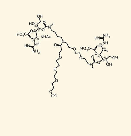 CCCOCCOCCOCCOCCC(=O)N(CCCCN(C)C(=O)O[C@@H]([C@@H]1OC(C(=O)O)=C[C@H](NC(=N)N)[C@H]1NC(C)=O)[C@H](O)CO)CCOCCOCCN(C)C(=O)O[C@@H]([C@@H]1OC(C(=O)O)=C[C@H](NC(=N)N)[C@H]1C)[C@H](O)CO